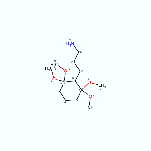 COC1(OC)CCC[Si](OC)(OC)C1CCCN